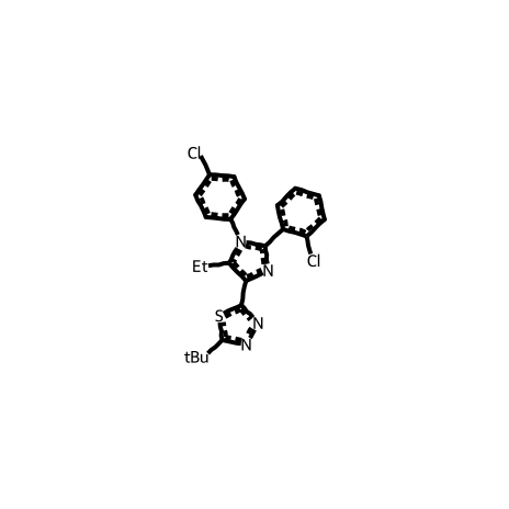 CCc1c(-c2nnc(C(C)(C)C)s2)nc(-c2ccccc2Cl)n1-c1ccc(Cl)cc1